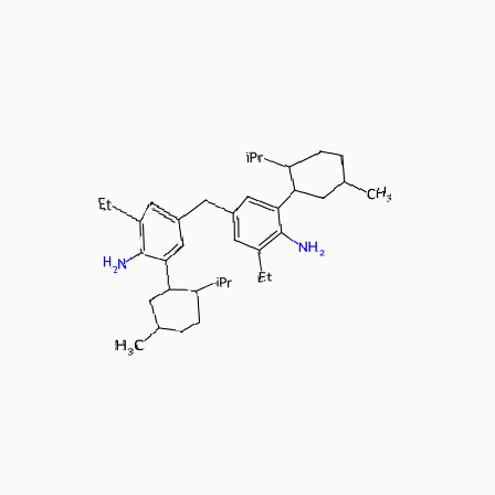 CCc1cc(Cc2cc(CC)c(N)c(C3CC(C)CCC3C(C)C)c2)cc(C2CC(C)CCC2C(C)C)c1N